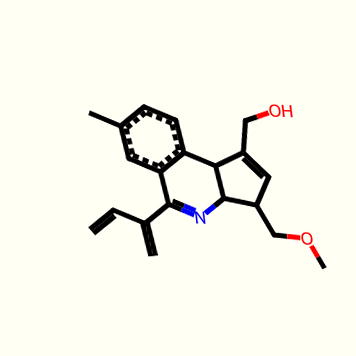 C=CC(=C)C1=NC2C(COC)C=C(CO)C2c2ccc(C)cc21